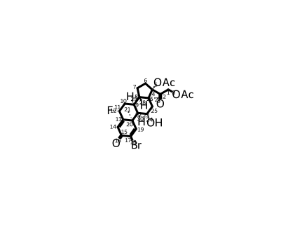 CC(=O)OCC(=O)[C@]1(OC(C)=O)CC[C@H]2[C@@H]3C[C@@H](F)C4=CC(=O)C(Br)=C[C@]4(C)[C@@H]3[C@@H](O)C[C@@]21C